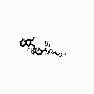 C/C(=N\OCCCO)c1ccc2nnc(Cc3c(F)cc4ncccc4c3F)n2n1